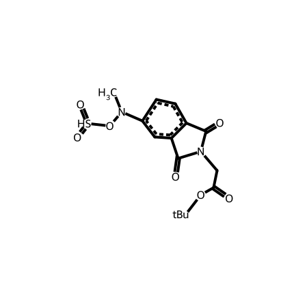 CN(O[SH](=O)=O)c1ccc2c(c1)C(=O)N(CC(=O)OC(C)(C)C)C2=O